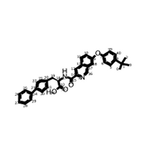 CC(C)(C)c1ccc(Oc2ccc3cc(C(=O)N[C@H](Cc4ccc(-c5ccccc5)cc4)C(=O)O)ncc3c2)cc1